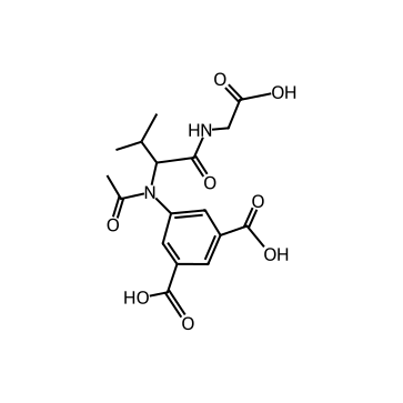 CC(=O)N(c1cc(C(=O)O)cc(C(=O)O)c1)C(C(=O)NCC(=O)O)C(C)C